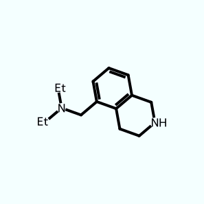 CCN(CC)Cc1cccc2c1CCNC2